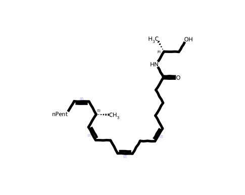 CCCCC/C=C\[C@H](C)/C=C\C/C=C\C/C=C\CCCC(=O)N[C@H](C)CO